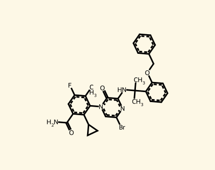 Cc1c(F)cc(C(N)=O)c(C2CC2)c1-n1cc(Br)nc(NC(C)(C)c2ccccc2OCc2ccccc2)c1=O